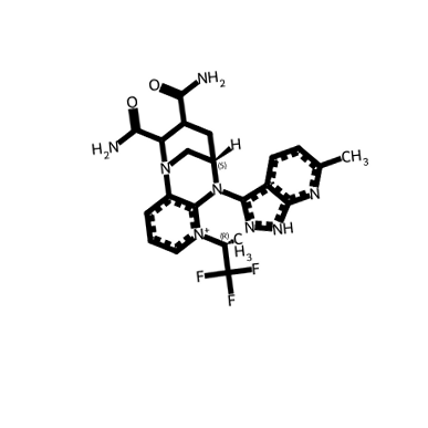 Cc1ccc2c(N3c4c(ccc[n+]4[C@H](C)C(F)(F)F)N4C[C@@H]3CC(C(N)=O)C4C(N)=O)n[nH]c2n1